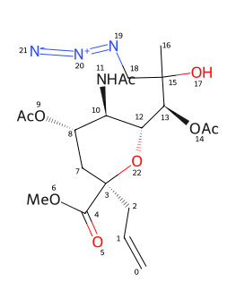 C=CC[C@]1(C(=O)OC)C[C@H](OC(C)=O)[C@@H](NC(C)=O)[C@H]([C@H](OC(C)=O)C(C)(O)CN=[N+]=[N-])O1